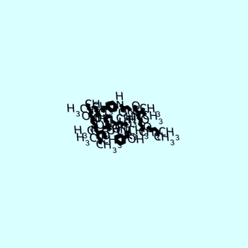 CCC(C)C([C@@H](CC(=O)N1CCC[C@H]1[C@H](OC)[C@@H](C)C(=O)N[C@H](C)[C@@H](O)c1ccccc1)OC)N(C)C(=O)CNC(=O)C(C(C)C)N(C)C(=O)OCc1ccc(NC(=O)CNC(=O)C(NC(=O)CC(C)OCCC(C)C)C(C)C)cc1